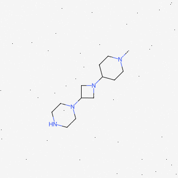 CN1CCC(N2CC(N3CCNCC3)C2)CC1